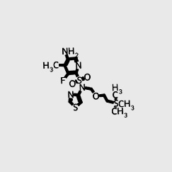 Cc1c(N)cnc(S(=O)(=O)N(COCCS(C)(C)C)c2cscn2)c1F